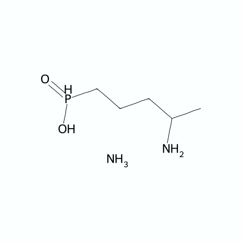 CC(N)CCC[PH](=O)O.N